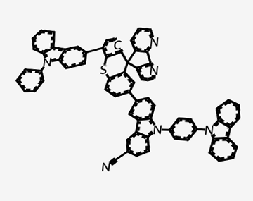 N#Cc1ccc2c(c1)c1cc(-c3ccc4c(c3)C3(c5cccnc5-c5ncccc53)c3cccc(-c5ccc6c(c5)c5ccccc5n6-c5ccccc5)c3S4)ccc1n2-c1ccc(-n2c3ccccc3c3ccccc32)cc1